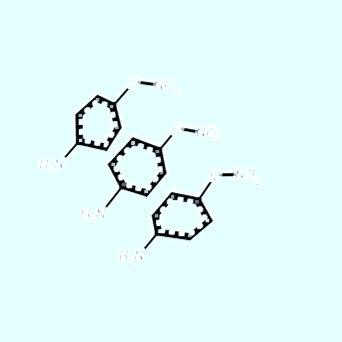 Nc1ccc(O[N+](=O)[O-])cc1.Nc1ccc(O[N+](=O)[O-])cc1.Nc1ccc(O[N+](=O)[O-])cc1